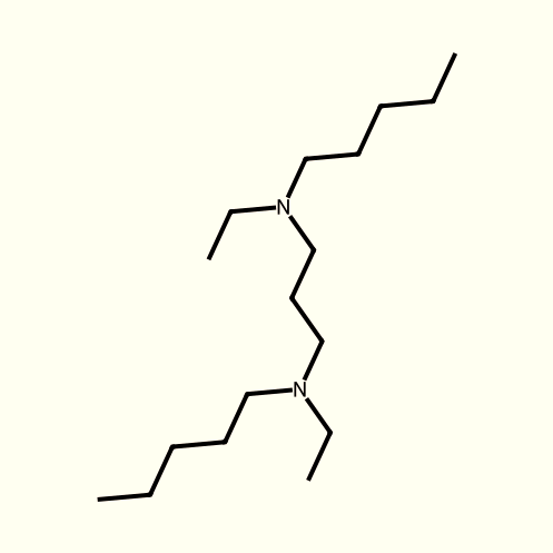 CCCCCN(CC)CCCN(CC)CCCCC